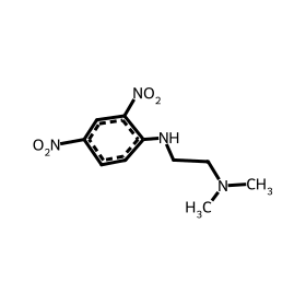 CN(C)CCNc1ccc([N+](=O)[O-])cc1[N+](=O)[O-]